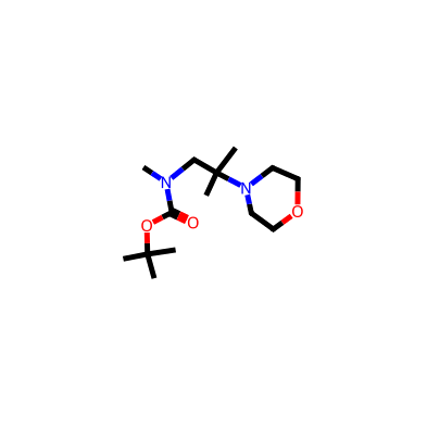 CN(CC(C)(C)N1CCOCC1)C(=O)OC(C)(C)C